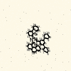 c1ccc(-c2cc(-c3ccccc3)cc(-c3nc(-c4cccc5c4sc4ccccc45)nc(-c4cccc5ccc6ccccc6c45)n3)c2)cc1